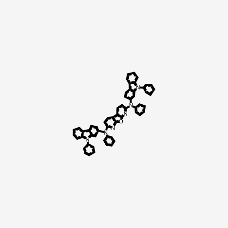 c1ccc(N(c2ccc3c4ccccc4n(-c4ccccc4)c3c2)c2ccc3c(n2)oc2nc(N(c4ccccc4)c4ccc5c6ccccc6n(-c6ccccc6)c5c4)ccc23)cc1